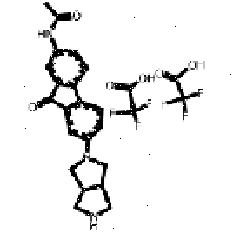 CC(=O)Nc1ccc2c(c1)C(=O)c1cc(N3CC4CNCC4C3)ccc1-2.O=C(O)C(F)(F)F.O=C(O)C(F)(F)F